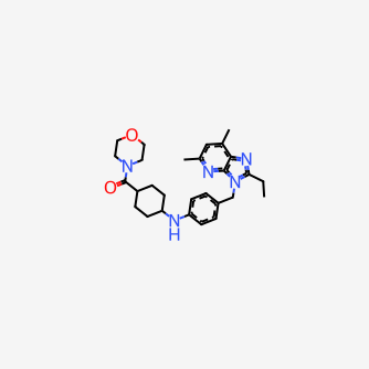 CCc1nc2c(C)cc(C)nc2n1Cc1ccc(NC2CCC(C(=O)N3CCOCC3)CC2)cc1